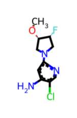 CO[C@H]1CN(c2cc(N)c(Cl)cn2)C[C@H]1F